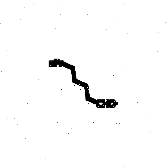 [CH2]CCCCCC[C]=O